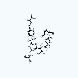 CC(C)C(=O)OCc1ccc(NC(=O)[C@H](CCCNC(N)=O)NC(=O)[C@@H](NC(=O)C(C)(C)CC(C)(C)N2C(=O)C=CC2=O)C(C)C)cc1